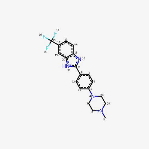 CN1CCN(c2ccc(-c3nc4ccc(C(F)(F)F)cc4[nH]3)cc2)CC1